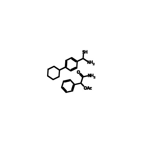 CC(=O)OC(C(N)=O)c1ccccc1.NC(S)c1ccc(C2CCCCC2)cc1